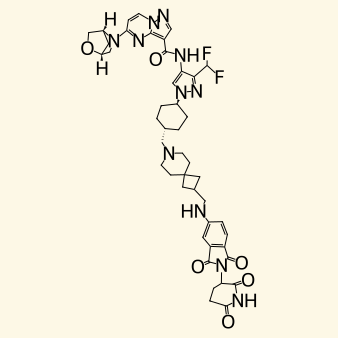 O=C1CCC(N2C(=O)c3ccc(NCC4CC5(CCN(C[C@H]6CC[C@H](n7cc(NC(=O)c8cnn9ccc(N%10C[C@H]%11C[C@@H]%10CO%11)nc89)c(C(F)F)n7)CC6)CC5)C4)cc3C2=O)C(=O)N1